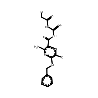 N=C(NC(=O)CN)NC(=O)c1nc(Cl)c(NCc2ccccc2)nc1N